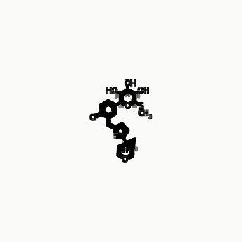 CS[C@H]1O[C@@H](c2ccc(Cl)c(Cc3ccc([C@]45CCOC[C@H]4C5)s3)c2)[C@H](O)[C@@H](O)[C@@H]1O